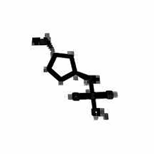 CN[C@H]1CC[C@H](NS(C)(=O)=O)C1